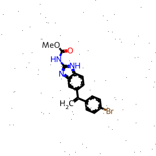 C=C(c1ccc(Br)cc1)c1ccc2[nH]c(NC(=O)OC)nc2c1